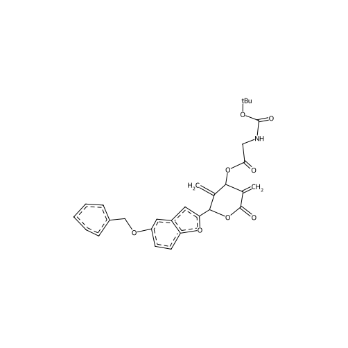 C=C1C(=O)OC(c2cc3cc(OCc4ccccc4)ccc3o2)C(=C)C1OC(=O)CNC(=O)OC(C)(C)C